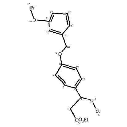 CCOC(=O)CC(OCC)c1ccc(OCc2cccc(OC(C)C)c2)cc1